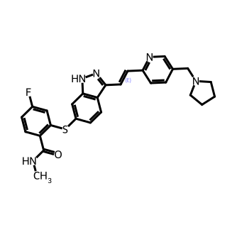 CNC(=O)c1ccc(F)cc1Sc1ccc2c(/C=C/c3ccc(CN4CCCC4)cn3)n[nH]c2c1